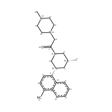 C[C@@H]1C[C@H](c2ccc(C#N)c3ncccc23)CN(C(=O)CN2CCN(C)CC2)C1